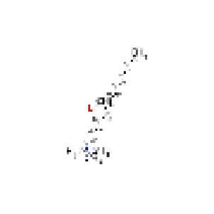 CBr.CCCCCCCCCCCCCCCCC[N+](C)(C)C